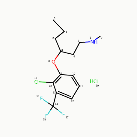 CCCC(CCNC)Oc1cccc(C(F)(F)F)c1Cl.Cl